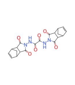 O=C(NN1C(=O)C2C3C=CC(C3)C2C1=O)C(=O)NN1C(=O)C2C3C=CC(C3)C2C1=O